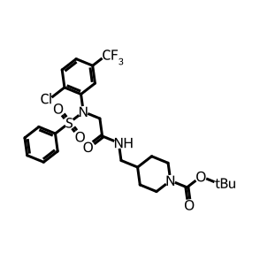 CC(C)(C)OC(=O)N1CCC(CNC(=O)CN(c2cc(C(F)(F)F)ccc2Cl)S(=O)(=O)c2ccccc2)CC1